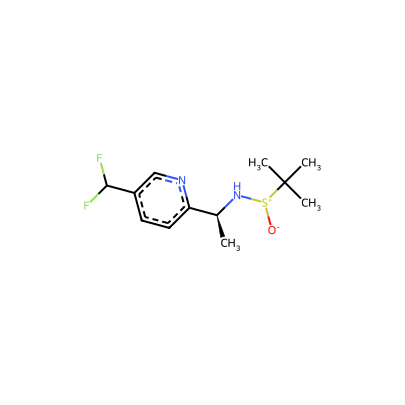 C[C@H](N[S+]([O-])C(C)(C)C)c1ccc(C(F)F)cn1